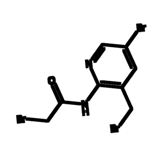 O=C(CBr)Nc1ncc(Br)cc1CBr